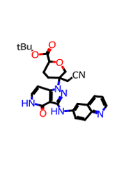 CC(C)(C)OC(=O)C1CCC(CC#N)(n2nc(Nc3ccc4ncccc4c3)c3c(=O)[nH]ccc32)CO1